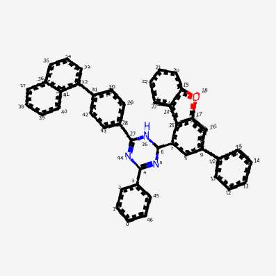 c1ccc(C2=NC(c3cc(-c4ccccc4)cc4oc5ccccc5c34)NC(c3ccc(-c4cccc5ccccc45)cc3)=N2)cc1